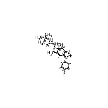 CC1=Cc2c(cnn2-c2ccc(F)cc2)CC1(C)CNC(=O)NC(C)(C)C